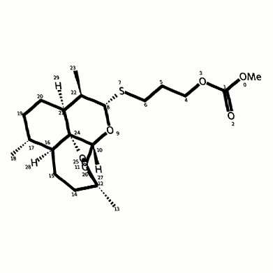 COC(=O)OCCCS[C@@H]1O[C@@H]2O[C@]3(C)CC[C@H]4[C@H](C)CC[C@@H]([C@H]1C)[C@@]24OO3